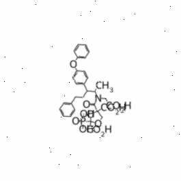 CC(C(CCc1ccccc1)c1ccc(Oc2ccccc2)cc1)N(CC(=O)O)C(=O)C1(C(=O)O)COC(C(=O)O)(P(=O)(O)O)O1